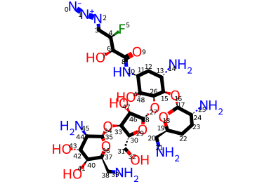 [N-]=[N+]=NC[C@@H](F)[C@H](O)C(=O)N[C@@H]1C[C@H](N)[C@@H](O[C@H]2O[C@H](CN)CC[C@H]2N)[C@H](O[C@@H]2O[C@H](CO)[C@@H](O[C@H]3O[C@@H](CN)[C@@H](O)[C@H](O)[C@H]3N)[C@H]2O)[C@H]1O